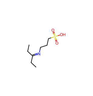 CCC(CC)=NCCCS(=O)(=O)O